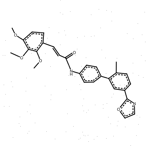 COc1ccc(/C=C/C(=O)Nc2ccc(-c3cc(-c4ncco4)ccc3C)cc2)c(OC)c1OC